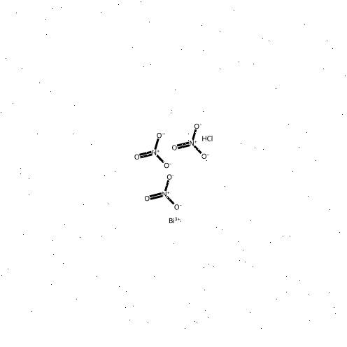 Cl.O=[N+]([O-])[O-].O=[N+]([O-])[O-].O=[N+]([O-])[O-].[Bi+3]